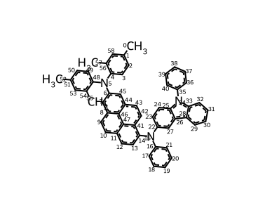 Cc1ccc(N(c2cc3ccc4ccc(N(c5ccccc5)c5ccc6c(c5)c5ccccc5n6-c5ccccc5)c5ccc(c2)c3c45)c2ccc(C)cc2C)c(C)c1